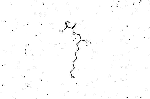 C=C(C)C(=O)OCC(C)OCCCCCCO